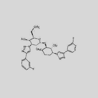 CC(=O)OC[C@H]1O[C@@H](S[C@@H]2CCC[C@H](n3cc(-c4cccc(F)c4)nn3)[C@H]2OC(C)=O)[C@H](OC(C)=O)[C@@H](n2cc(-c3cccc(F)c3)nn2)[C@H]1OC(C)=O